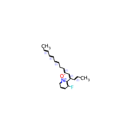 C/C=C/C=C/C=C/C/C=C/C=C(/C=C/C)c1c(F)ccc[n+]1[O-]